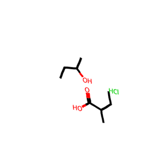 CCC(C)C(=O)O.CCC(C)O.Cl